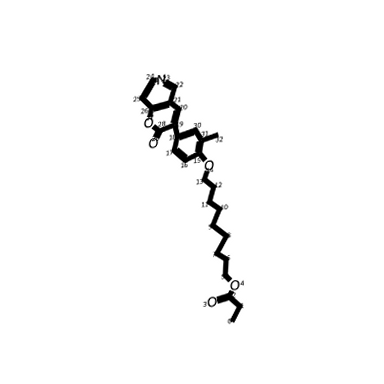 CCC(=O)OCCCCCCCCCOc1ccc(-c2cc3cnccc3oc2=O)cc1C